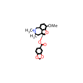 COc1ccc2c3c1OC1C[C@@H](OC(=O)c4ccc5c(c4)OCO5)C(C)[C@@]31CCN(C)C2